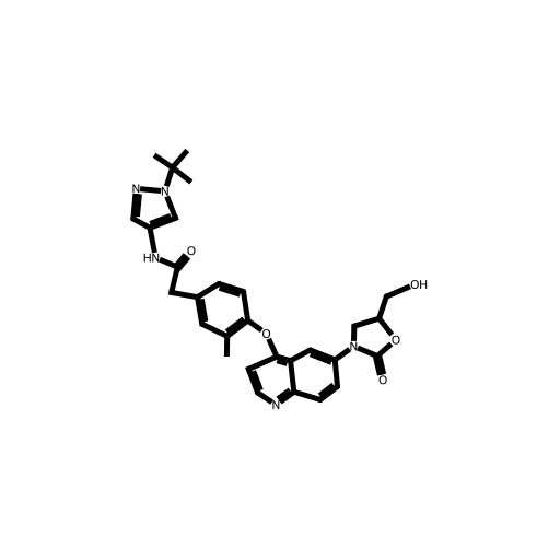 Cc1cc(CC(=O)Nc2cnn(C(C)(C)C)c2)ccc1Oc1ccnc2ccc(N3CC(CO)OC3=O)cc12